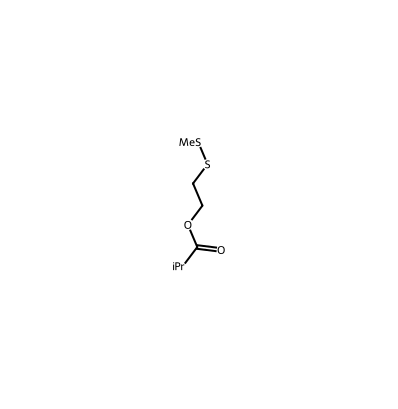 CSSCCOC(=O)C(C)C